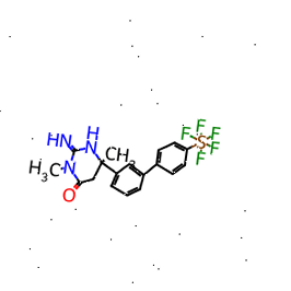 CN1C(=N)N[C@](C)(c2cccc(-c3ccc(S(F)(F)(F)(F)F)cc3)c2)CC1=O